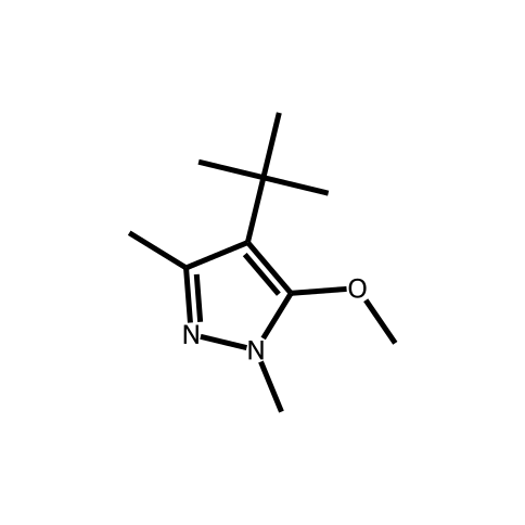 COc1c(C(C)(C)C)c(C)nn1C